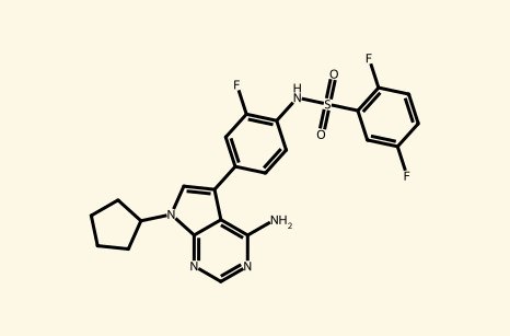 Nc1ncnc2c1c(-c1ccc(NS(=O)(=O)c3cc(F)ccc3F)c(F)c1)cn2C1CCCC1